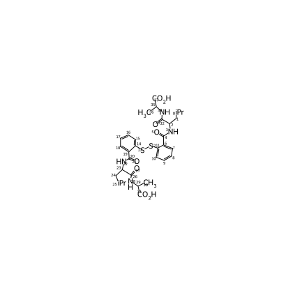 CC(C)CC(NC(=O)c1ccccc1SSc1ccccc1C(=O)NC(CC(C)C)C(=O)NC(C)C(=O)O)C(=O)NC(C)C(=O)O